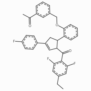 CCc1cc(F)c(C(=O)C2C=C(c3ccc(F)cc3)CC2c2ccccc2OCc2cccc(C(C)=O)c2)c(F)c1